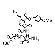 COc1ccc(COC(=O)C2=C(/C=C/CI)CSC3[C@H](NC(=O)/C(=N\OC(C)(C)C(=O)OC(C)(C)C)c4nc(N)sc4Cl)C(=O)N23)cc1